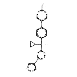 C[C@](c1ccc(-c2cnc(N)nc2)cc1)(c1noc(-c2cn[nH]c2)n1)C1CC1